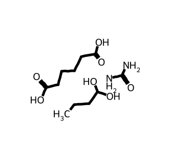 CCCC(O)O.NC(N)=O.O=C(O)CCCCC(=O)O